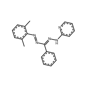 Cc1cccc(C)c1N=NC(=NNc1ccccn1)c1ccccc1